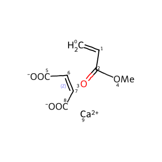 C=CC(=O)OC.O=C([O-])/C=C\C(=O)[O-].[Ca+2]